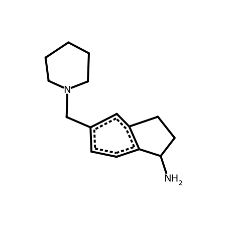 NC1CCc2cc(CN3CCCCC3)ccc21